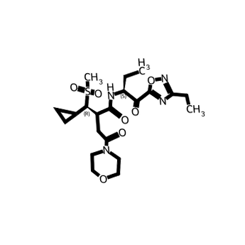 CCc1noc(C(=O)[C@H](CC)NC(=O)C(CC(=O)N2CCOCC2)[C@@H](C2CC2)S(C)(=O)=O)n1